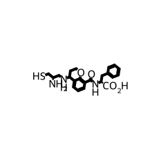 N[C@@H](CS)CNC1CCOc2c(C(=O)N[C@@H](Cc3ccccc3)C(=O)O)cccc21